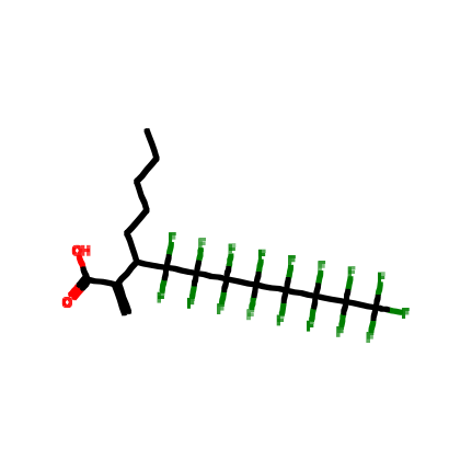 C=C(C(=O)O)C(CCCCC)C(F)(F)C(F)(F)C(F)(F)C(F)(F)C(F)(F)C(F)(F)C(F)(F)C(F)(F)F